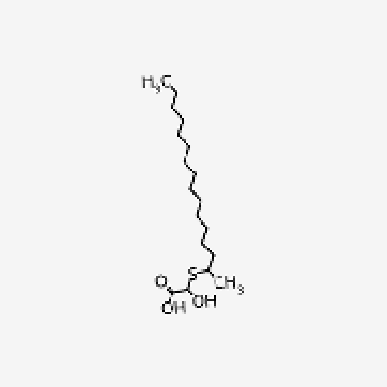 CCCCCCCCCCCCCCC(C)SC(O)C(=O)O